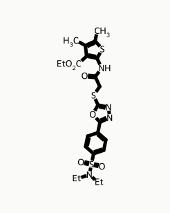 CCOC(=O)c1c(NC(=O)CSc2nnc(-c3ccc(S(=O)(=O)N(CC)CC)cc3)o2)sc(C)c1C